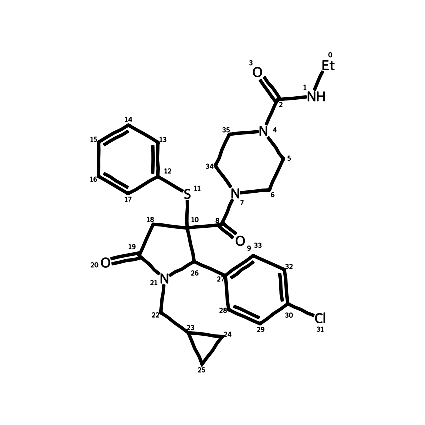 CCNC(=O)N1CCN(C(=O)C2(Sc3ccccc3)CC(=O)N(CC3CC3)C2c2ccc(Cl)cc2)CC1